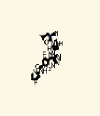 N#C/C(=C/C1CC1)C(=O)N1C[C@@H]2C[C@@H]1[C@@H](n1nc(-c3ccc(C(=O)Nc4cc(F)ccn4)cc3F)c3c(N)ncnc31)C2